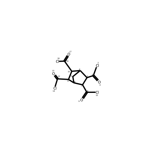 O=C(Cl)C1C2CC(C1C(=O)Cl)C(C(=O)Cl)C2C(=O)Cl